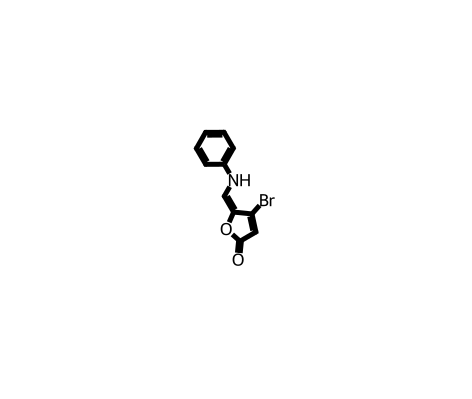 O=C1C=C(Br)/C(=C\Nc2ccccc2)O1